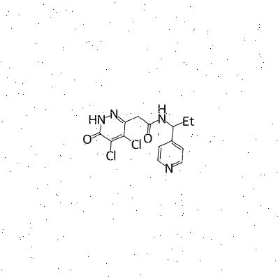 CCC(NC(=O)Cc1n[nH]c(=O)c(Cl)c1Cl)c1ccncc1